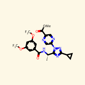 COC(=O)c1cnc(-n2nc(C3CC3)nc2[C@H](C)NC(=O)c2cc(OC(F)(F)F)cc(OC(F)(F)F)c2)cn1